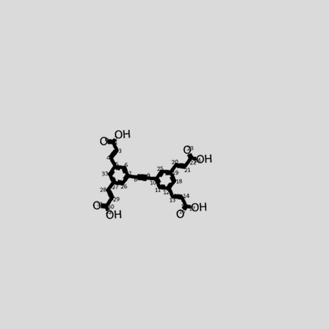 O=C(O)/C=C/c1cc(C#Cc2cc(/C=C/C(=O)O)cc(/C=C/C(=O)O)c2)cc(/C=C/C(=O)O)c1